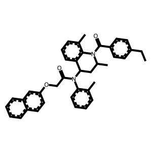 CCc1ccc(C(=O)N2c3c(C)cccc3C(N(C(=O)COc3ccc4ccccc4c3)c3ccccc3C)CC2C)cc1